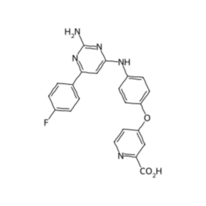 Nc1nc(Nc2ccc(Oc3ccnc(C(=O)O)c3)cc2)cc(-c2ccc(F)cc2)n1